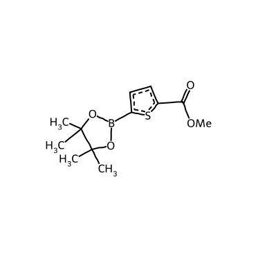 COC(=O)c1ccc(B2OC(C)(C)C(C)(C)O2)s1